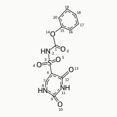 O=C(NS(=O)(=O)c1c[nH]c(=O)[nH]c1=O)Oc1ccccc1